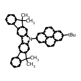 CC(C)(C)c1cc2ccc3cc(-n4c5cc6c(cc5c5cc7c(cc54)C(C)(C)c4ccccc4-7)-c4ccccc4C6(C)C)cc4ccc(c1)c2c34